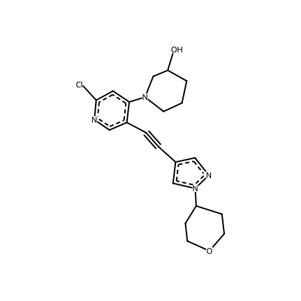 OC1CCCN(c2cc(Cl)ncc2C#Cc2cnn(C3CCOCC3)c2)C1